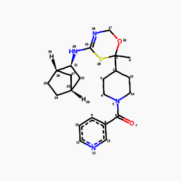 CC1(C2CCN(C(=O)c3cccnc3)CC2)OCN=C(N[C@H]2C[C@@H]3CC[C@H]2C3)S1